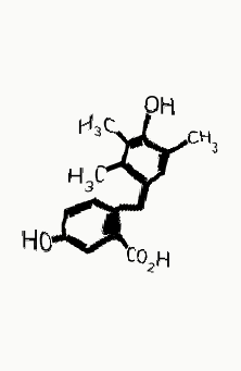 Cc1cc(Cc2ccc(O)cc2C(=O)O)c(C)c(C)c1O